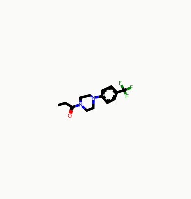 CCC(=O)N1CCN(c2ccc(C(F)(F)F)cc2)CC1